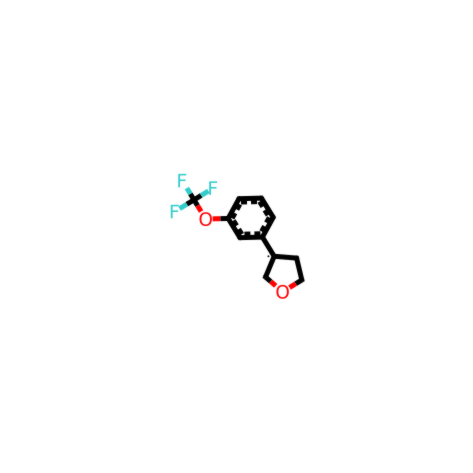 FC(F)(F)Oc1cccc([C]2CCOC2)c1